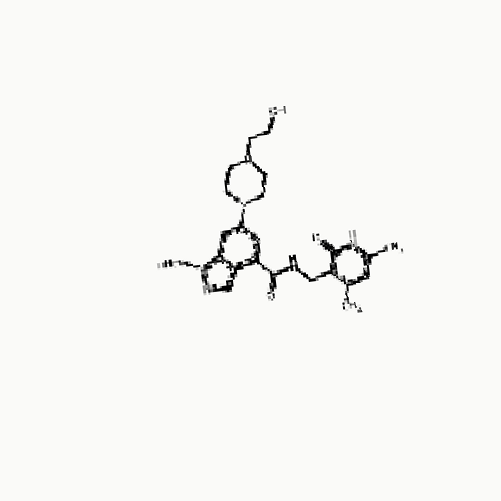 CCCCCCn1ncc2c(C(=O)NCc3c(C)cc(C)[nH]c3=O)cc(N3CCN(CCO)CC3)cc21